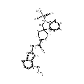 COc1cccc2oc(NC(=O)N3CCC4(CC3)CN(S(C)(=O)=O)c3ccccc34)nc12